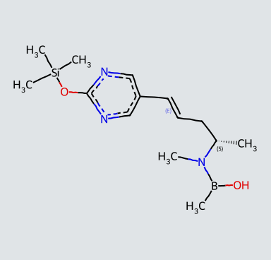 CB(O)N(C)[C@@H](C)C/C=C/c1cnc(O[Si](C)(C)C)nc1